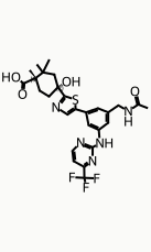 CC(=O)NCc1cc(Nc2nccc(C(F)(F)F)n2)cc(-c2cnc([C@@]3(O)CC[C@](C)(C(=O)O)C(C)(C)C3)s2)c1